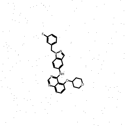 Fc1cccc(Cn2ncc3cc(Nc4ncnc5cccc(OC6CCOCC6)c45)ccc32)c1